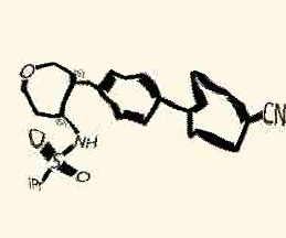 CC(C)S(=O)(=O)N[C@H]1CCOC[C@H]1c1ccc(-c2ccc(C#N)cc2)cc1